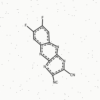 [C-]#[N+]c1nc2nc3cc(F)c(F)cc3nc2nc1C#N